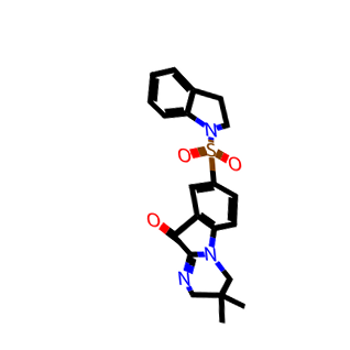 CC1(C)CN=C2C(=O)c3cc(S(=O)(=O)N4CCc5ccccc54)ccc3N2C1